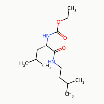 CCOC(=O)N[C@@H](CC(C)C)C(=O)NCCC(C)C